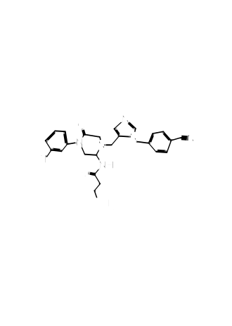 CCCC(=O)NC1CN(c2cccc(Cl)c2)C(=O)CN1Cc1cncn1Cc1ccc(C#N)cc1